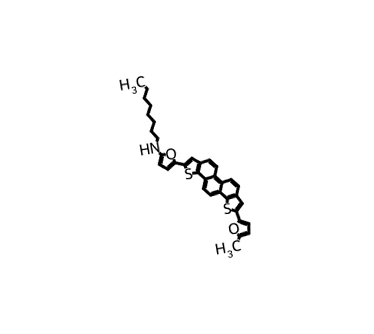 CCCCCCCCNc1ccc(-c2cc3ccc4c5ccc6cc(-c7ccc(C)o7)sc6c5ccc4c3s2)o1